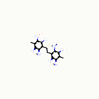 Cc1c(NO)c(N)c(CCc2c(N(C)S)c(N)c(C)c3nsnc23)c2nsnc12